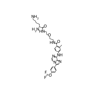 Cc1cc(Nc2nccn3c(-c4ccc(OC(F)F)cc4)cnc23)ccc1C(=O)NCCOCCNC(=O)C(N)CCCCN